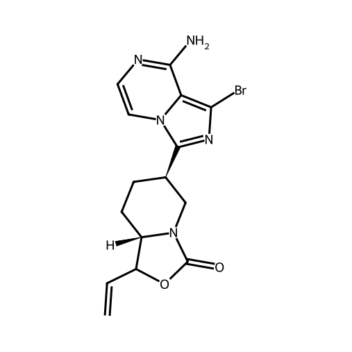 C=CC1OC(=O)N2C[C@H](c3nc(Br)c4c(N)nccn34)CC[C@@H]12